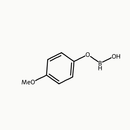 COc1ccc(OBO)cc1